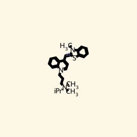 CC(C)[N+](C)(C)CCC[n+]1ccc(/C=C2\Sc3ccccc3N2C)c2ccccc21